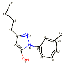 CCCCc1cc(O)n(-c2cccc(C)c2)n1